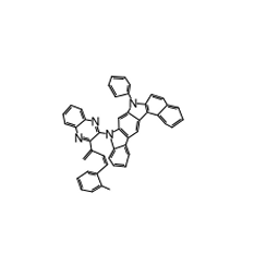 C=C(/C=C\c1ccccc1C)c1nc2ccccc2nc1-n1c2ccccc2c2cc3c4c5ccccc5ccc4n(-c4ccccc4)c3cc21